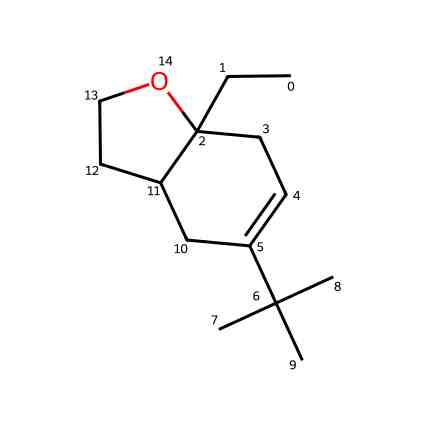 CCC12CC=C(C(C)(C)C)CC1CCO2